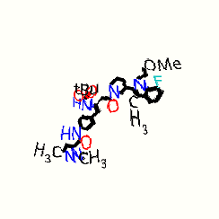 COCCCn1c(C2CCCN(C(=O)C[C@@H](Cc3ccc(NC(=O)c4cc(C)nn4C)cc3)NC(=O)OC(C)(C)C)C2)c(C)c2cccc(F)c21